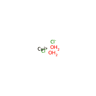 O.O.[Cl-].[Cl-].[Cu+2]